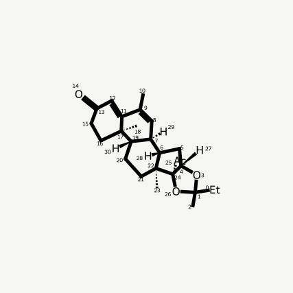 CCC1(C)O[C@H]2C[C@H]3[C@@H]4C=C(C)C5=CC(=O)CC[C@]5(C)[C@H]4CC[C@]3(C)[C@]2(C(C)=O)O1